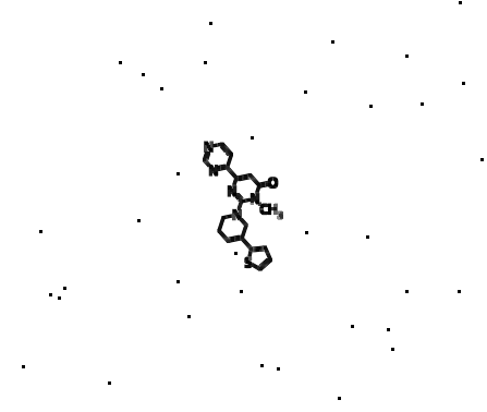 Cn1c(N2CCC=C(c3cccs3)C2)nc(-c2ccncn2)cc1=O